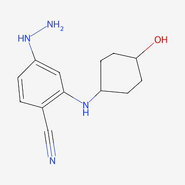 N#Cc1ccc(NN)cc1NC1CCC(O)CC1